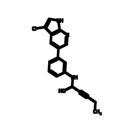 CCC#CC(O)Nc1cccc(-c2cnc3[nH]cc(Cl)c3c2)c1